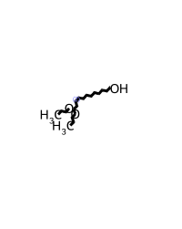 CCCOC(C/C=C\CCCCCCCCO)OCCC